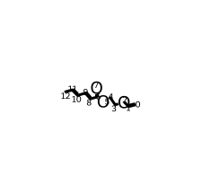 C=COCCOC(=O)C=CC=CC